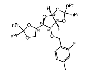 CCCC1(CCC)O[C@H]2O[C@H]([C@H]3COC(CCC)(CCC)O3)[C@H](OCc3ccc(C)cc3F)[C@H]2O1